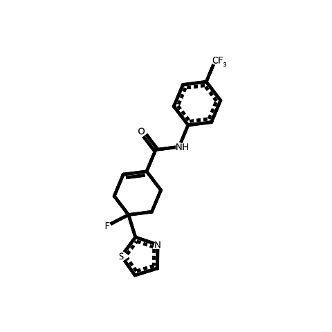 O=C(Nc1ccc(C(F)(F)F)cc1)C1=CCC(F)(c2nccs2)CC1